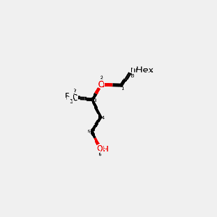 CCCCCCCOC(CCO)C(F)(F)F